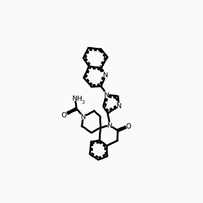 NC(=O)N1CCC2(CC1)c1ccccc1CC(=O)N2c1cn(-c2ccc3ccccc3n2)cn1